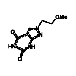 COCCn1cc2c(=O)[nH]c(=O)[nH]c2n1